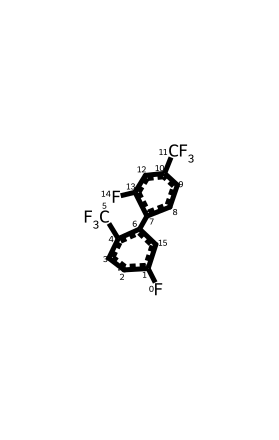 Fc1[c]cc(C(F)(F)F)c(-c2ccc(C(F)(F)F)cc2F)c1